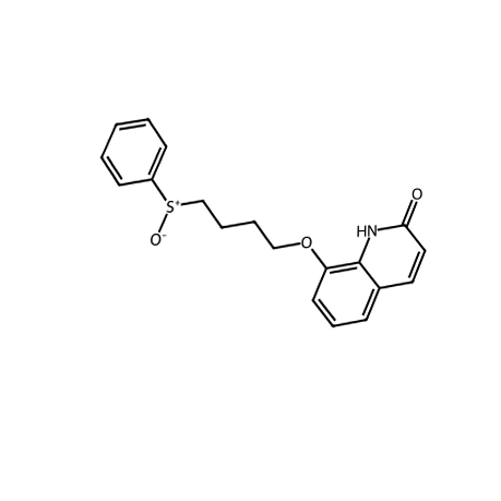 O=c1ccc2cccc(OCCCC[S+]([O-])c3ccccc3)c2[nH]1